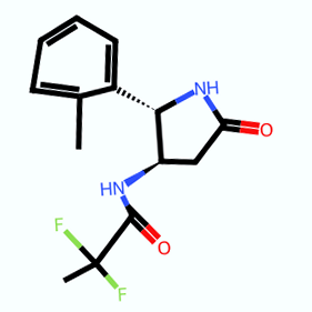 Cc1ccccc1[C@@H]1NC(=O)C[C@H]1NC(=O)C(C)(F)F